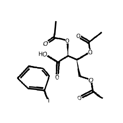 CC(=O)OC[C@H](OC(C)=O)[C@H](OC(C)=O)C(=O)O.Ic1ccccc1